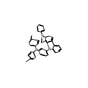 Cc1ccc(N(c2ccc(C)cc2)c2cccc(-n3c4ccccc4c4ccc5c(ccn5-c5ccccc5)c43)c2)cc1